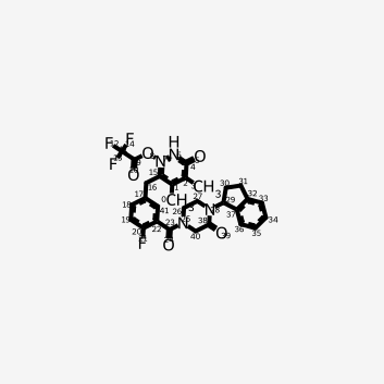 Cc1c(C)c(=O)[nH][n+](OC(=O)C(F)(F)F)c1Cc1ccc(F)c(C(=O)N2CCN(C3CCc4ccccc43)C(=O)C2)c1